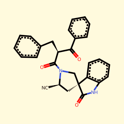 N#C[C@@H]1C[C@@]2(CN1C(=O)[C@@H](Cc1ccccc1)C(=O)c1ccccc1)C(=O)Nc1ccccc12